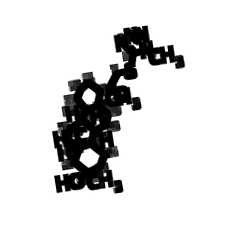 Cn1nnnc1SCC(=O)[C@H]1CCC[C@H]2[C@@H]3CC[C@H]4C[C@](C)(O)CC[C@]4(C)[C@H]3CC[C@]12C